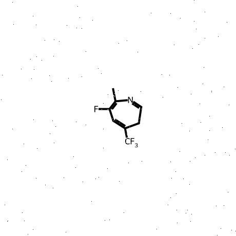 CC1=C(F)C=C(C(F)(F)F)CC=N1